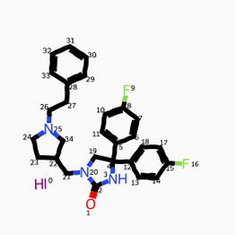 I.O=C1NC(c2ccc(F)cc2)(c2ccc(F)cc2)CN1CC1CCN(CCc2ccccc2)C1